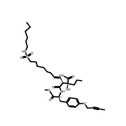 CC#CCOc1ccc(C[C@H](NC(=O)[C@@H](C=CCCCCCCS(=O)(=O)NCCCCCC)[C@@](O)(CCC)C(=O)O)C(=O)OC)cc1